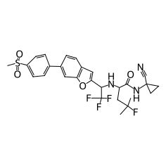 CC(C)(F)CC(NC(c1cc2ccc(-c3ccc(S(C)(=O)=O)cc3)cc2o1)C(F)(F)F)C(=O)NC1(C#N)CC1